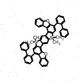 C[Si]1(C)c2cc3c(cc2-c2c1cc(-c1ccccc1-c1ccccc1)c1c2oc2ccccc21)[Si](C)(C)c1cc(-c2ccccc2-c2ccccc2)c2oc4ccccc4c2c1-3